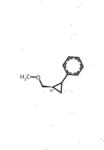 COC[C@@H]1CC1c1ccccc1